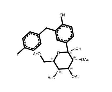 CC(=O)OC[C@H]1O[C@@](O)(c2ccc(C#N)c(Cc3ccc(I)cc3)c2)[C@H](OC(C)=O)[C@@H](OC(C)=O)[C@@H]1OC(C)=O